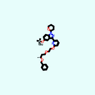 C[C@H](CCOCCOc1cccc(-c2nn(C3CCCCO3)c3ccc(O[Si](C)(C)C(C)(C)C)cc23)n1)OCc1ccccc1